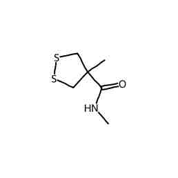 CNC(=O)C1(C)CSSC1